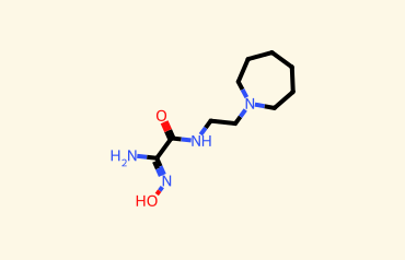 NC(=NO)C(=O)NCCN1CCCCCC1